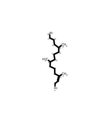 CC(=O)CC=C(C)CCCC(C)CCCC(C)CCCC(C)C